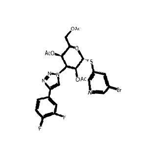 CC(=O)OCC1O[C@H](Sc2cncc(Br)c2)C(OC(C)=O)C(n2cc(-c3ccc(F)c(F)c3)nn2)[C@H]1OC(C)=O